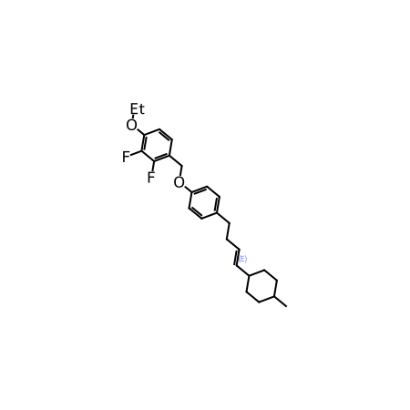 CCOc1ccc(COc2ccc(CC/C=C/C3CCC(C)CC3)cc2)c(F)c1F